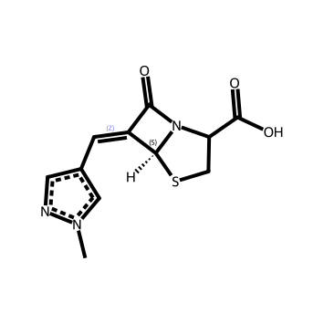 Cn1cc(/C=C2/C(=O)N3C(C(=O)O)CS[C@@H]23)cn1